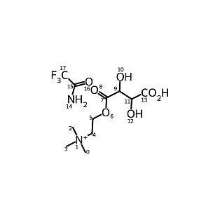 C[N+](C)(C)CCOC(=O)C(O)C(O)C(=O)O.NC(=O)C(F)(F)F